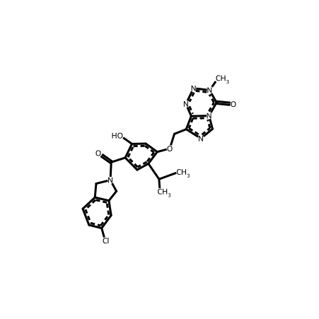 CC(C)c1cc(C(=O)N2Cc3ccc(Cl)cc3C2)c(O)cc1OCc1ncn2c(=O)n(C)nnc12